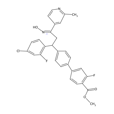 COC(=O)c1ccc(-c2ccc(C(C/C(=N/O)c3ccnc(C)c3)c3ccc(Cl)cc3F)cc2)cc1F